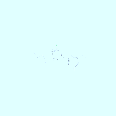 NCC1Cc2cc(-c3cc(C(F)(F)F)cc(C(F)(F)F)c3)cc(Cl)c2O1